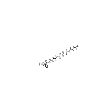 CCCC=CCCCCCCCCCCCCCCC(=O)O